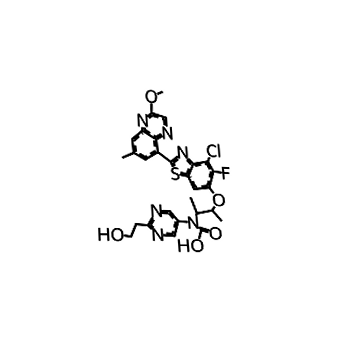 COc1cnc2c(-c3nc4c(Cl)c(F)c(OC(C)C(C)N(C(=O)O)c5cnc(CCO)nc5)cc4s3)cc(C)cc2n1